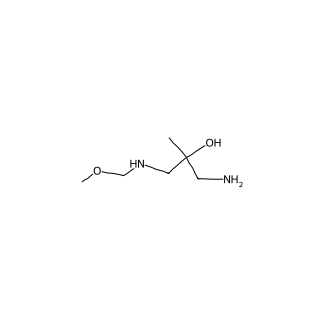 COCNCC(C)(O)CN